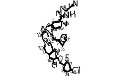 N#Cc1nnc(-c2cc3nc(CN4CCc5cc(Cl)c(OCc6ccc(Cl)cc6F)nc5C4)n(C[C@@H]4CCO4)c3cn2)[nH]1